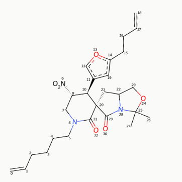 C=CCCCCN1C[C@H]([N+](=O)[O-])[C@@H](c2coc(CCC=C)c2)[C@]2(CC3COC(C)(C)N3C2=O)C1=O